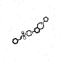 O=S(=O)(C=Cc1ccccc1)N1CCN(c2ccc3c(c2)CCN(C2CCCC2)CC3)CC1